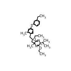 CCOC1=N[C@](C)(CCCc2ccc(Sc3cccc(CC)c3)cc2C)C(OCC)=N[C@H]1C(C)C